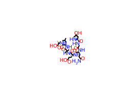 CC(C)C[C@H](NC(=O)C(C)(C)NC(=O)[C@H](CCC(=O)O)NC(=O)[C@H](CCC(N)=O)NC(=O)CNC(=O)[C@@H]1C[C@@H](O)CN1)C(=O)N[C@@H](C)C(=O)O